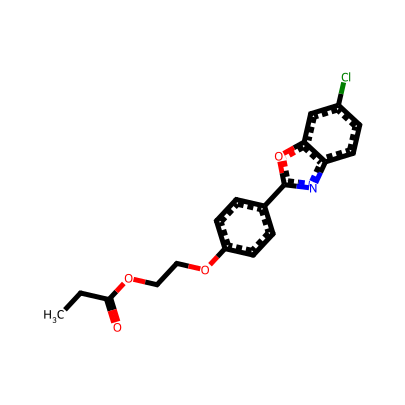 CCC(=O)OCCOc1ccc(-c2nc3ccc(Cl)cc3o2)cc1